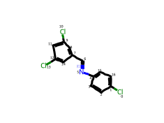 Clc1ccc(/N=C/c2cc(Cl)cc(Cl)c2)cc1